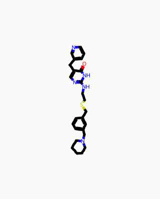 O=c1[nH]c(NCCSCc2cccc(CN3CCCCC3)c2)ncc1Cc1cccnc1